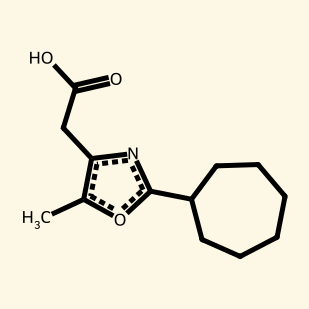 Cc1oc(C2CCCCCC2)nc1CC(=O)O